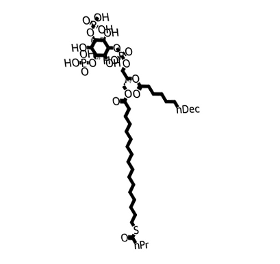 CCCCCCCCCCCCCCCC(=O)O[C@H](COC(=O)CCCCCCCCCCCCCCCCSC(=O)CCC)COP(=O)(O)OC1C(O)[C@@H](OP(=O)(O)O)C(O)[C@@H](OP(=O)(O)O)[C@H]1O